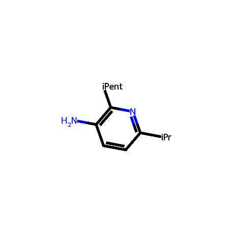 CCCC(C)c1nc(C(C)C)ccc1N